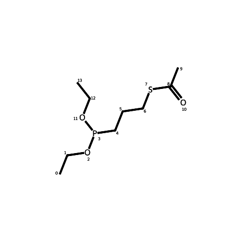 CCOP(CCCSC(C)=O)OCC